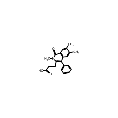 Cc1cc2c(-c3ccccc3)c(CCC(=O)O)n(C)c(=O)c2cc1C